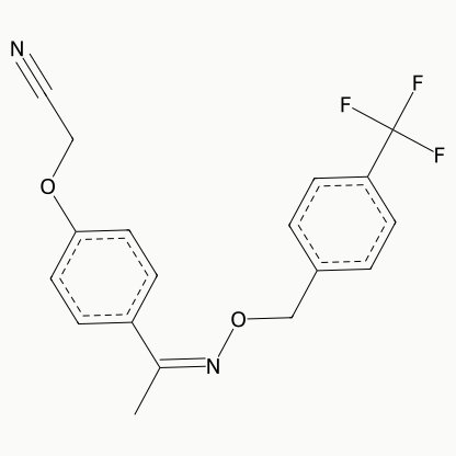 CC(=NOCc1ccc(C(F)(F)F)cc1)c1ccc(OCC#N)cc1